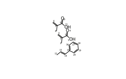 C=C(C)C(=O)O.C=C(C)C(=O)O.CC=Cc1ccccc1